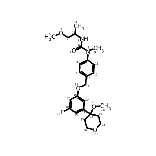 COCC(C)NC(=O)N(C)c1ccc(COc2cc(F)cc(C3(OC)CCOCC3)c2)cc1